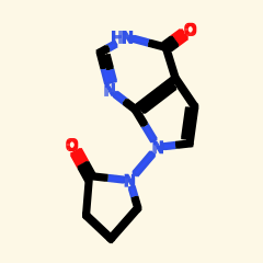 O=C1CCCN1n1ccc2c(=O)[nH]cnc21